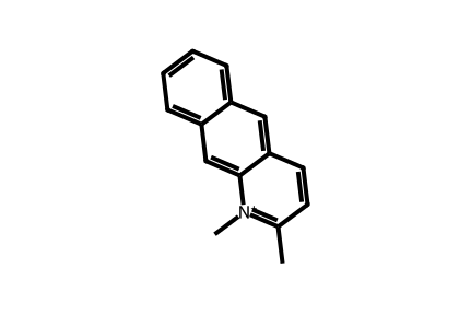 Cc1ccc2cc3ccccc3cc2[n+]1C